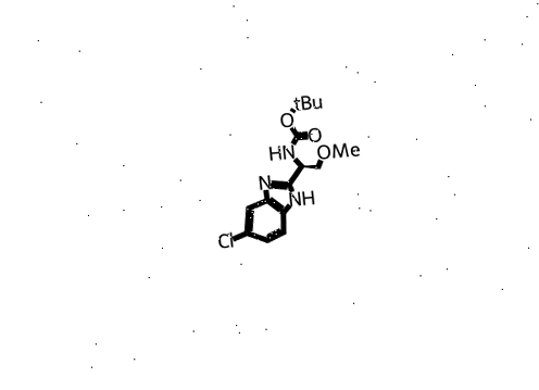 COC[C@H](NC(=O)OC(C)(C)C)c1nc2cc(Cl)ccc2[nH]1